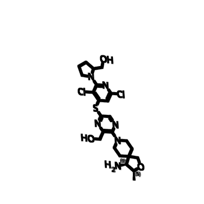 C[C@@H]1OCC2(CCN(c3ncc(Sc4cc(Cl)nc(N5CCCC5CO)c4Cl)nc3CO)CC2)[C@@H]1N